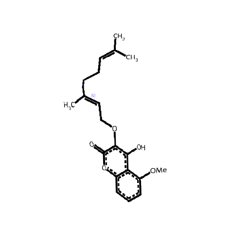 COc1cccc2oc(=O)c(OC/C=C(\C)CCC=C(C)C)c(O)c12